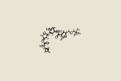 Cn1nc(COCC(F)(F)F)cc1C(=O)Nc1cc([C@@H]2C[C@H](OC(=O)NC34CC(C3)C4)CO2)[nH]n1